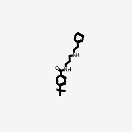 CC(C)(C)c1ccc(C(=O)NCCCNCCc2ccccc2)cc1